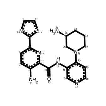 Nc1ccc(-c2nccs2)nc1C(=O)Nc1cnccc1N1CCC[C@H](N)C1